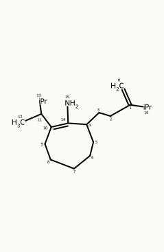 C=C(CCC1CCCCC/C(C(C)C(C)C)=C\1N)C(C)C